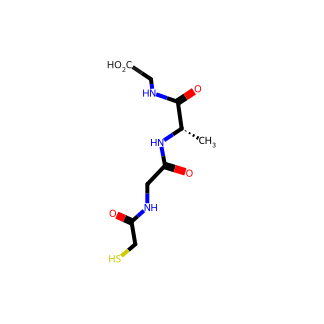 C[C@H](NC(=O)CNC(=O)CS)C(=O)NCC(=O)O